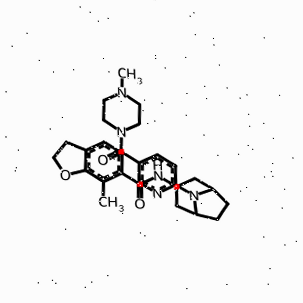 Cc1c(C(=O)NC2CC3CCC(C2)N3c2ccc(C(=O)N3CCN(C)CC3)cn2)ccc2c1OCC2